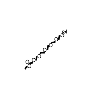 CCOC(=O)COCCOCCOCCOCCOCCOSI